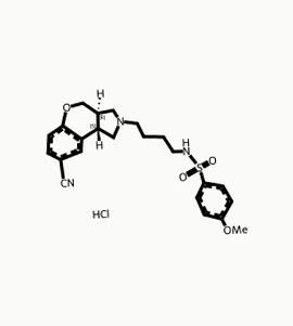 COc1ccc(S(=O)(=O)NCCCCN2C[C@@H]3COc4ccc(C#N)cc4[C@H]3C2)cc1.Cl